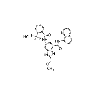 COCc1nc2c(C(=O)Nc3cccc4cccnc34)cc(NC(=O)c3ccccc3C(F)(F)F)cc2[nH]1.Cl